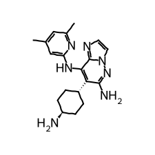 Cc1cc(C)nc(Nc2c3nccn3nc(N)c2[C@H]2CC[C@H](N)CC2)c1